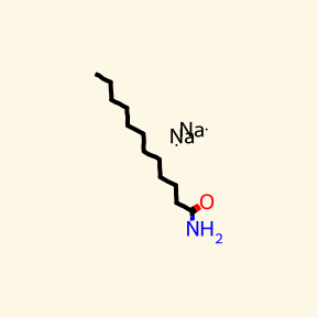 CCCCCCCCCCCC(N)=O.[Na].[Na]